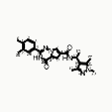 Cc1ccc(-c2nn3cc(C(=O)NC(C)c4c(C)nn(C)c4C)cc3c(=O)[nH]2)cc1C